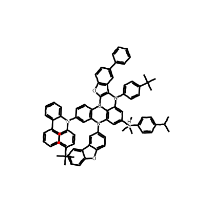 CC(C)c1ccc([SH](C)(C)(C)c2cc3c4c(c2)N(c2ccc(C(C)(C)C)cc2)c2c(oc5ccc(-c6ccccc6)cc25)B4c2ccc(N(c4ccc(C(C)(C)C)cc4)c4ccccc4-c4ccccc4)cc2N3c2ccc3oc4ccccc4c3c2)cc1